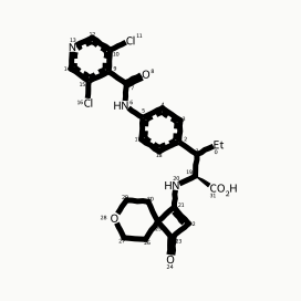 CCC(c1ccc(NC(=O)c2c(Cl)cncc2Cl)cc1)[C@H](NC1=CC(=O)C12CCOCC2)C(=O)O